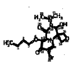 CCCCOc1c2n(cc(Br)c1=O)C1(COC1)C(O)N(N(C)C)C2=O